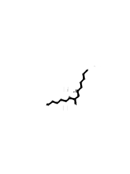 CCCCCCCCCCCCCCCC(O)CC(CO)C(O)CCCCCCCCCCCCCCC